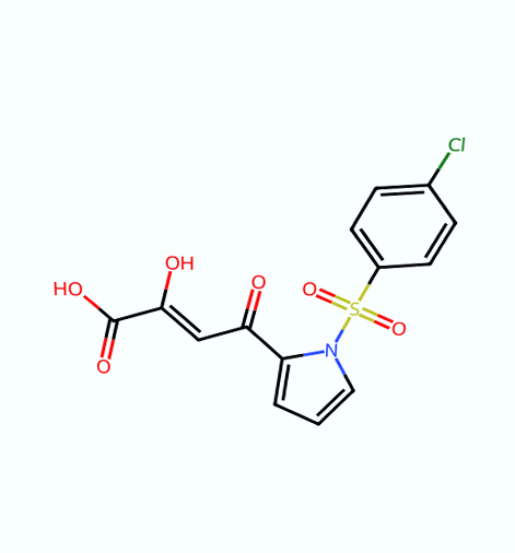 O=C(O)C(O)=CC(=O)c1cccn1S(=O)(=O)c1ccc(Cl)cc1